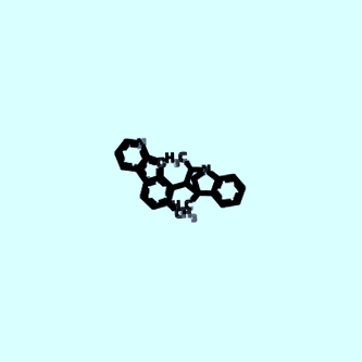 Cc1ccc2c(oc3ncccc32)c1C1[C@@H](C)N2CC1(C)c1ccccc12